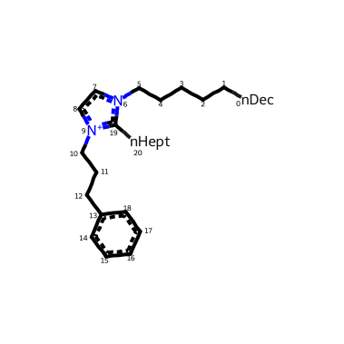 CCCCCCCCCCCCCCCn1cc[n+](CCCc2ccccc2)c1CCCCCCC